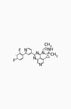 C[C@@H]1CN(c2nc(-c3ccnc(C4=C(F)[CH]C(F)C=C4)c3)nc3cncc(C4CC4)c23)C[C@H](C)N1